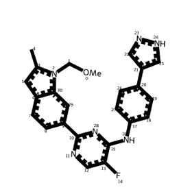 COCn1c(C)cc2ccc(-c3ncc(F)c(Nc4ccc(-c5cn[nH]c5)cc4)n3)cc21